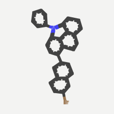 Brc1ccc2cc(-c3ccc4c5c3ccc3cccc(c35)n4-c3ccccc3)ccc2c1